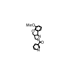 COc1cccc2c1OCC1CN(C(=O)c3cccnc3)N=C21